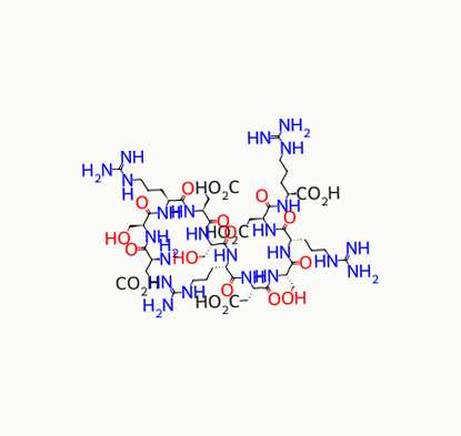 N=C(N)NCCC[C@H](NC(=O)[C@H](CC(=O)O)NC(=O)[C@H](CCCNC(=N)N)NC(=O)[C@H](CO)NC(=O)[C@H](CC(=O)O)NC(=O)[C@H](CCCNC(=N)N)NC(=O)[C@H](CO)NC(=O)[C@H](CC(=O)O)NC(=O)[C@H](CCCNC(=N)N)NC(=O)[C@H](CO)NC(=O)[C@@H](N)CC(=O)O)C(=O)O